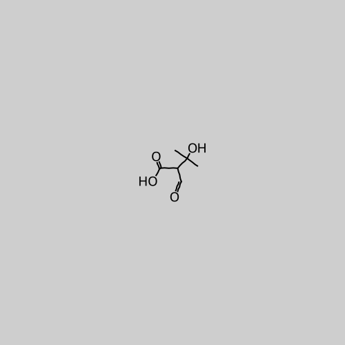 CC(C)(O)C(C=O)C(=O)O